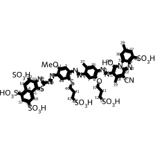 COc1cc(N=Nc2cc(OCCCS(=O)(=O)O)c(N=Nc3c(C)c(C#N)c4nc5c(S(=O)(=O)O)cc(C)cc5n4c3O)cc2C)c(SCCCS(=O)(=O)O)cc1N=Nc1nc2c(S(=O)(=O)O)cc3c(S(=O)(=O)O)cc(S(=O)(=O)O)cc3c2s1